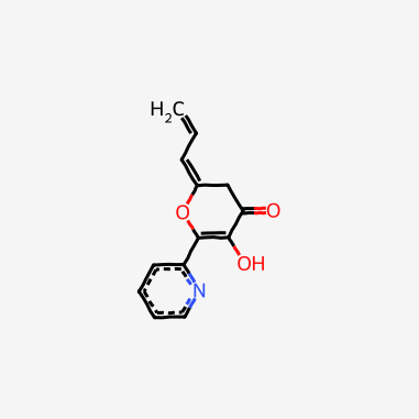 C=C/C=C1\CC(=O)C(O)=C(c2ccccn2)O1